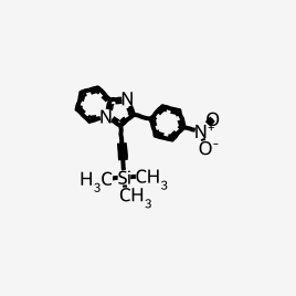 C[Si](C)(C)C#Cc1c(-c2ccc([N+](=O)[O-])cc2)nc2ccccn12